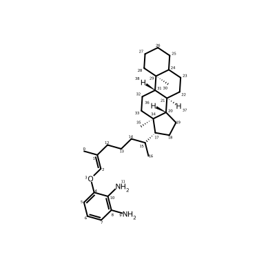 CC(=COc1cccc(N)c1N)CCCC(C)[C@H]1CC[C@H]2[C@@H]3CCC4CCCC[C@]4(C)[C@H]3CC[C@]12C